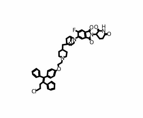 O=C1CCC(N2C(=O)c3cc(F)c(N4CC5CCC4CN5CC4CCN(CCOc5ccc(C(=C(CCCl)c6ccccc6)c6ccccc6)cc5)CC4)cc3C2=O)C(=O)N1